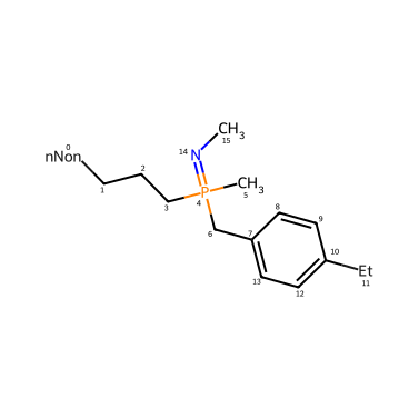 CCCCCCCCCCCCP(C)(Cc1ccc(CC)cc1)=NC